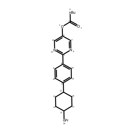 CCCCC(=O)Oc1cnc(-c2ccc(C3CCC(CCC)CC3)cc2)nc1